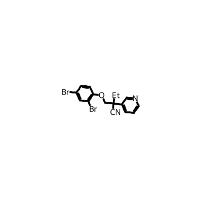 CCC(C#N)(COc1ccc(Br)cc1Br)c1cccnc1